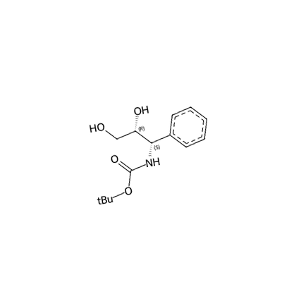 CC(C)(C)OC(=O)N[C@@H](c1ccccc1)[C@@H](O)CO